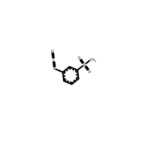 CS(=O)(=O)c1cccc(N=C=O)c1